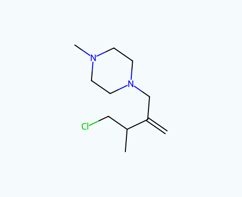 C=C(CN1CCN(C)CC1)C(C)CCl